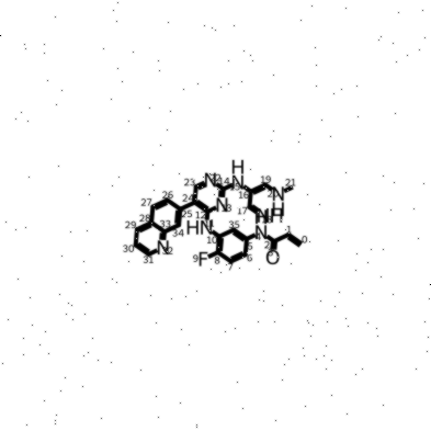 C=CC(=O)Nc1ccc(F)c(Nc2nc(N/C(C=N)=C/NC)ncc2-c2ccc3cccnc3c2)c1